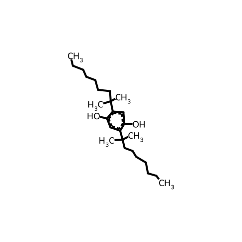 CCCCCCCC(C)(C)c1cc(O)c(C(C)(C)CCCCCCC)cc1O